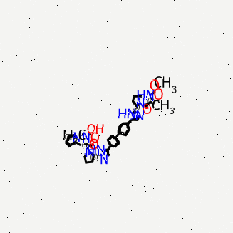 COC(=O)N[C@@H](C)C(=O)N1CCC[C@H]1c1ncc(-c2ccc(-c3ccc(-c4cnc([C@@H]5CCCN5C(=O)[C@H](Cc5ccccn5)N(C)C(=O)O)[nH]4)cc3)cc2)[nH]1